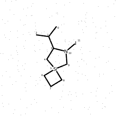 CC(C)C1C[Si]2(CCC2)CN1I